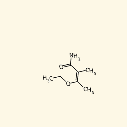 CCOC(C)=C(C)C(N)=O